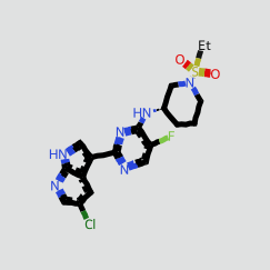 CCS(=O)(=O)N1CCC[C@H](Nc2nc(-c3c[nH]c4ncc(Cl)cc34)ncc2F)C1